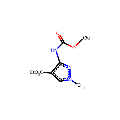 CCOC(=O)c1cn(C)nc1NC(=O)OC(C)(C)C